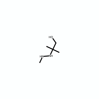 CNNC(C)(C)CO